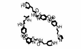 CC(C)NCCNc1ccc(S(=O)(=O)Oc2ccc3nc(NC(=O)CCC4CCNCC4)sc3c2)cc1.O=C(CCC1CCNCC1)Nc1nc2ccc(OS(=O)(=O)c3ccc(NCCCn4ccnc4)cc3)cc2s1